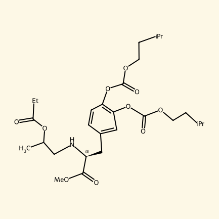 CCC(=O)OC(C)CN[C@@H](Cc1ccc(OC(=O)OCCC(C)C)c(OC(=O)OCCC(C)C)c1)C(=O)OC